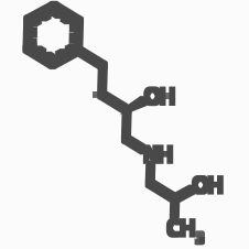 CC(O)CNC[C@H](O)[CH]Cc1ccccc1